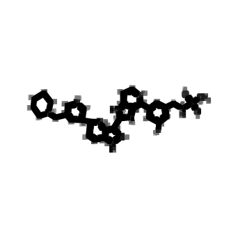 CS(=O)(=O)NCc1cc(F)cc(-c2nccc3[nH]c(-c4n[nH]c5ccc(-c6cncc(CN7CCCCC7)c6)nc45)nc23)c1